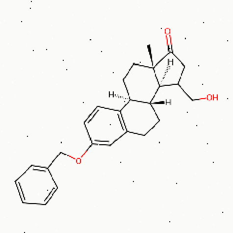 C[C@]12CC[C@@H]3c4ccc(OCc5ccccc5)cc4CC[C@H]3[C@@H]1C(CO)CC2=O